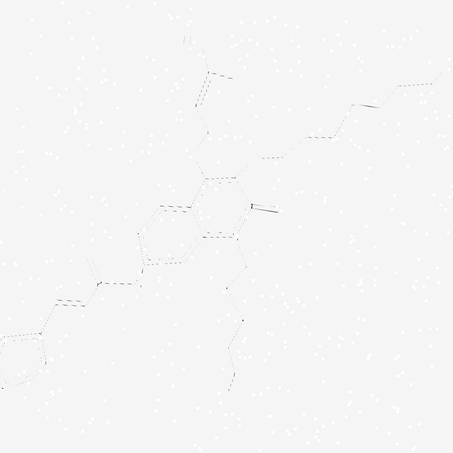 CCCCCCCCOc1c(OCC=C(C)C)c2ccc(NC(=O)C=Cc3ccccc3)cc2n(CCCCCC)c1=O